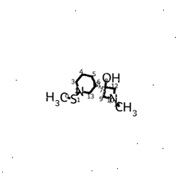 CSN1CCC[C@H](C2(O)CN(C)C2)C1